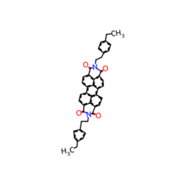 CCc1ccc(CCN2C(=O)c3ccc4c5ccc6c7c(ccc(c8ccc(c3c48)C2=O)c75)C(=O)N(CCc2ccc(CC)cc2)C6=O)cc1